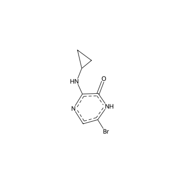 O=c1[nH]c(Br)cnc1NC1CC1